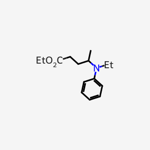 CCOC(=O)CCC(C)N(CC)c1ccccc1